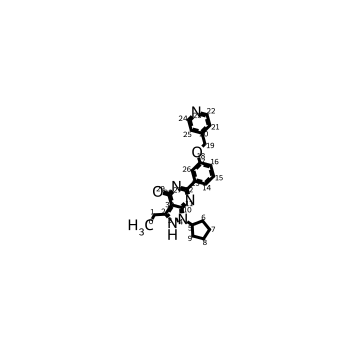 CCc1[nH]n(C2CCCC2)c2nc(-c3cccc(OCc4ccncc4)c3)nc(=O)c1-2